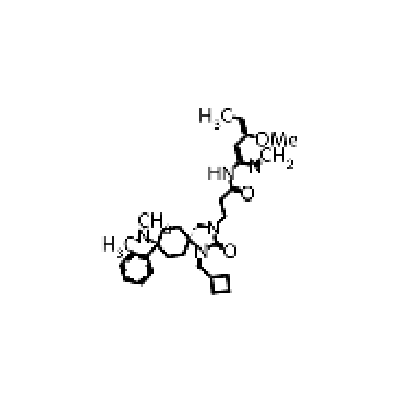 C=N/C(=C\C(=C/C)OC)NC(=O)CCN1C[C@]2(CC[C@](c3ccccc3)(N(C)C)CC2)N(CC2CCC2)C1=O